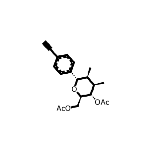 C#Cc1ccc([C@H]2O[C@H](COC(C)=O)[C@@H](OC(C)=O)[C@H](C)[C@@H]2C)cc1